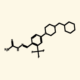 NC(=S)NN=Cc1ccc(N2CCN(CC3CCCCC3)CC2)cc1C(F)(F)F